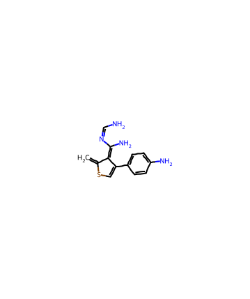 C=c1scc(-c2ccc(N)cc2)/c1=C(N)/N=C\N